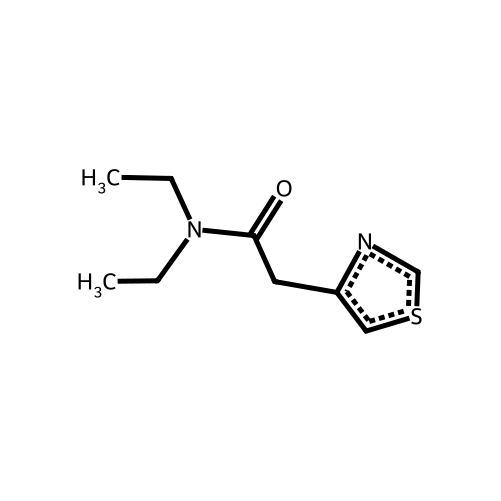 CCN(CC)C(=O)Cc1cscn1